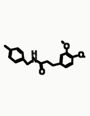 COc1ccc(CCC(=O)NCc2ccc(C)cc2)cc1OC